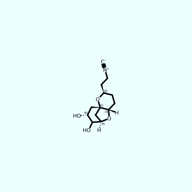 [C-]#[N+]CC[C@H]1CC[C@@H]2O[C@@H]3C[C@]2(C[C@@H](O)C3O)O1